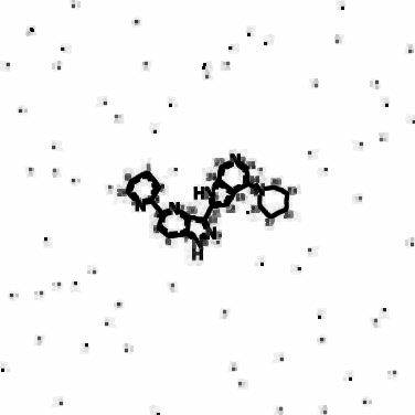 c1ccc(-c2ccc3[nH]nc(-c4cc5c(N6CCCCC6)cncc5[nH]4)c3n2)nc1